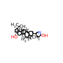 C=C(C)[C@@H]1CC[C@]2(CO)CC[C@]3(C)[C@H](CCC4[C@@]5(C)CC=C(c6ccc(O)nc6)C(C)(C)[C@@H]5CC[C@]43C)[C@@H]12